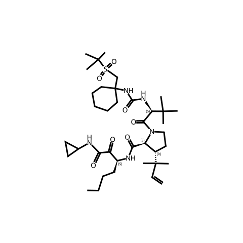 C=CC(C)(C)[C@H]1CCN(C(=O)[C@@H](NC(=O)NC2(CS(=O)(=O)C(C)(C)C)CCCCC2)C(C)(C)C)[C@@H]1C(=O)N[C@@H](CCCC)C(=O)C(=O)NC1CC1